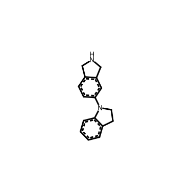 c1ccc2c(c1)CCN2c1ccc2c(c1)CNC2